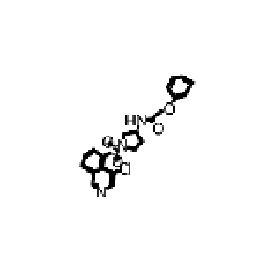 O=C(COc1ccccc1)N[C@H]1CCN(S(=O)(=O)c2cccc3cncc(Cl)c23)C1